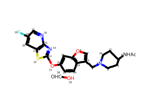 CC(=O)NC1CCN(Cc2coc3cc(Oc4nc5ncc(F)cc5s4)ccc23)CC1.O=CO